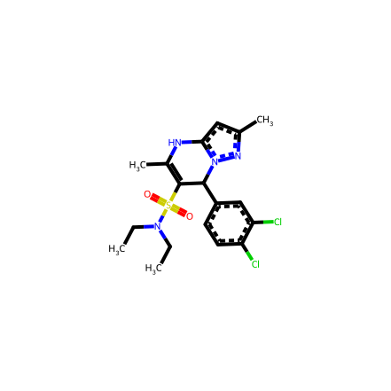 CCN(CC)S(=O)(=O)C1=C(C)Nc2cc(C)nn2C1c1ccc(Cl)c(Cl)c1